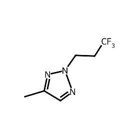 Cc1cnn(CCC(F)(F)F)n1